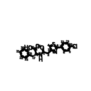 O=C(Cc1csc(-c2ccc(Cl)cc2)n1)N[C@H](Cc1ccccc1)C(=O)O